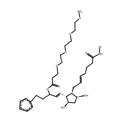 CCNC(=O)CCCC=CC[C@@H]1[C@@H](C=CC(CCc2ccccc2)OC(=O)CCOCCOCCOCCO[N+](=O)[O-])[C@H](O)C[C@@H]1O